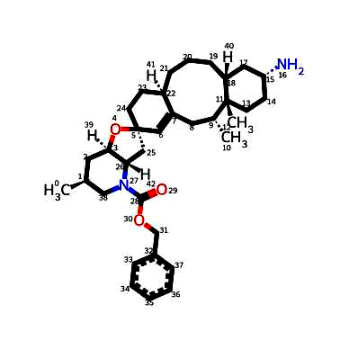 C[C@H]1C[C@H]2O[C@@]3(C=C4C[C@@H](C)[C@@]5(C)CC[C@@H](N)C[C@H]5CCC[C@@H]4CC3)C[C@@H]2N(C(=O)OCc2ccccc2)C1